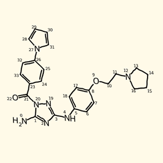 Nc1nc(Nc2ccc(OCCN3CCCC3)cc2)nn1C(=O)c1ccc(-n2cccc2)cc1